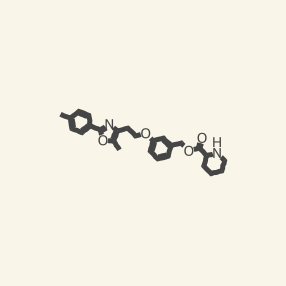 Cc1ccc(-c2nc(CCOc3cccc(COC(=O)C4CCCCN4)c3)c(C)o2)cc1